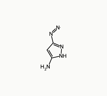 [N]=Nc1cc(N)[nH]n1